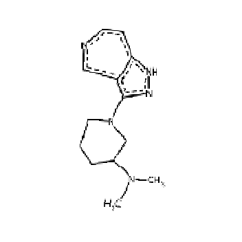 CN(C)C1CCCN(c2n[nH]c3ccncc23)C1